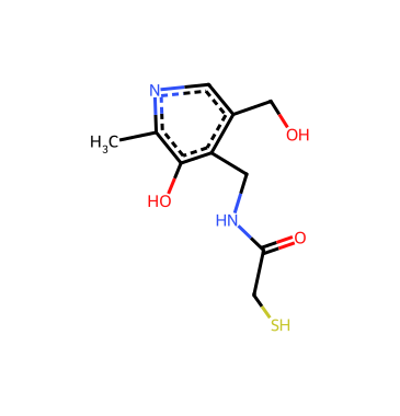 Cc1ncc(CO)c(CNC(=O)CS)c1O